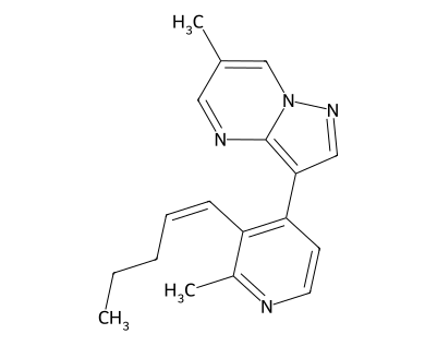 CCC/C=C\c1c(-c2cnn3cc(C)cnc23)ccnc1C